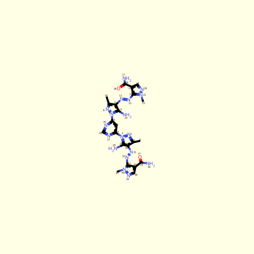 Cc1nn(-c2cc(-n3nc(C)c(N=Nc4c(C(N)=O)cnn4C)c3N)ncn2)c(N)c1N=Nc1c(C(N)=O)cnn1C